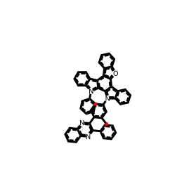 Cc1cc(-n2c3ccccc3c3c4oc5ccccc5c4c4c5ccccc5n(-c5ccccc5)c4c32)ccc1-c1nc2ccccc2nc1-c1ccccc1